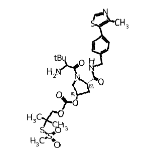 Cc1ncsc1-c1ccc(CNC(=O)[C@@H]2C[C@@H](OC(=O)OCC(C)(C)SS(C)(=O)=O)CN2C(=O)C(N)C(C)(C)C)cc1